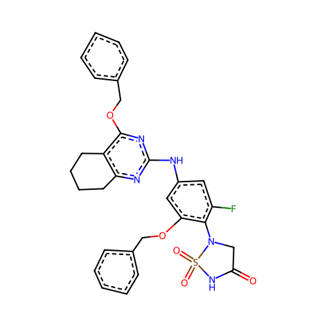 O=C1CN(c2c(F)cc(Nc3nc4c(c(OCc5ccccc5)n3)CCCC4)cc2OCc2ccccc2)S(=O)(=O)N1